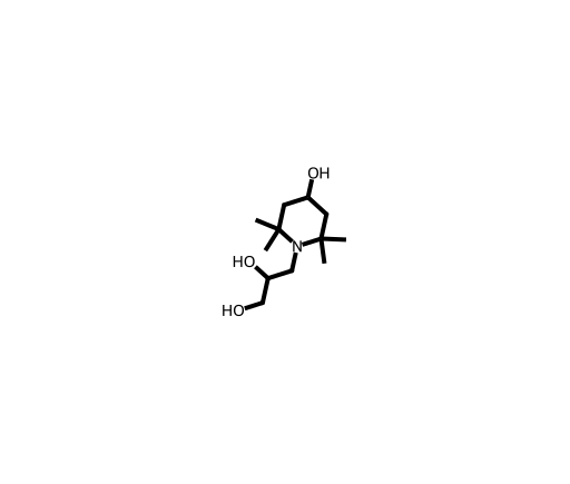 CC1(C)CC(O)CC(C)(C)N1CC(O)CO